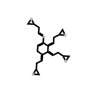 C(CC1CO1)=NC1=CCC(=CCC2CO2)C(=CCC2CO2)C1=CCC1CO1